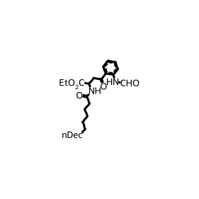 CCCCCCCCCCCCCCCC(=O)NC(CC(=O)c1ccccc1NC=O)C(=O)OCC